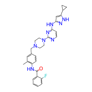 Cc1cc(CN2CCN(c3nccc(Nc4cc(C5CC5)[nH]n4)n3)CC2)ccc1NC(=O)c1ccccc1F